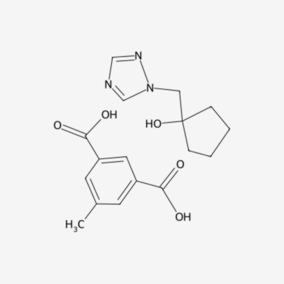 Cc1cc(C(=O)O)cc(C(=O)O)c1.OC1(Cn2cncn2)CCCC1